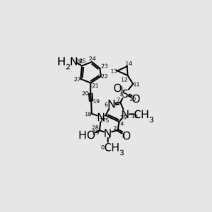 CN1C(=O)c2c(nc(S(=O)(=O)CC3CC3)n2C)N(CC#Cc2cccc(N)c2)C1O